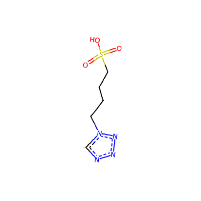 O=S(=O)(O)CCCCn1[c]nnn1